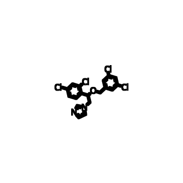 Clc1cc(Cl)cc(COC(Cn2ccnc2)c2ccc(Cl)cc2Cl)c1